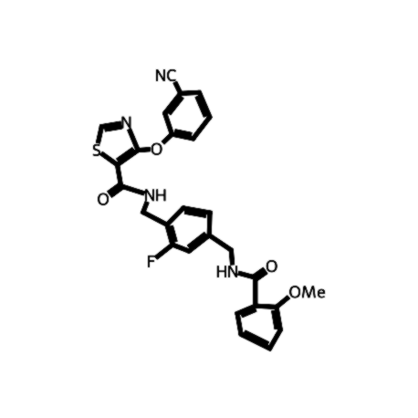 COc1ccccc1C(=O)NCc1ccc(CNC(=O)c2scnc2Oc2cccc(C#N)c2)c(F)c1